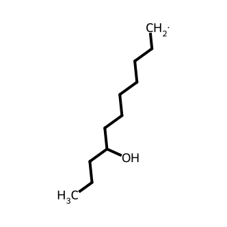 [CH2]CCCCCCC(O)CCC